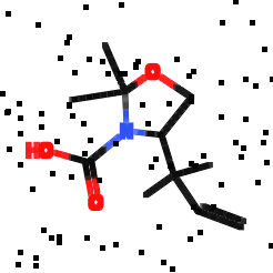 C=CC(C)(C)C1COC(C)(C)N1C(=O)O